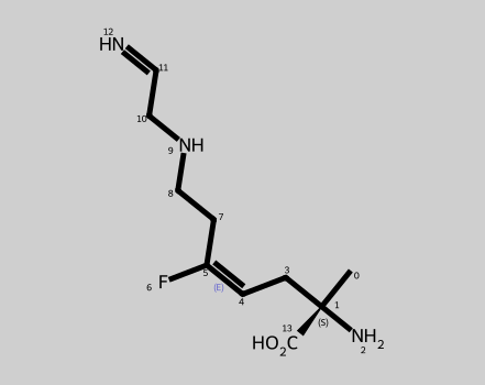 C[C@](N)(C/C=C(/F)CCNCC=N)C(=O)O